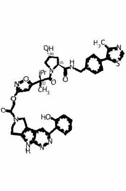 Cc1ncsc1-c1ccc(CNC(=O)[C@@H]2C[C@@H](O)CN2C(=O)[C@](C)(c2cc(OCC(=O)N3CCc4[nH]c5nnc(-c6ccccc6O)cc5c4C3)no2)C(C)C)cc1